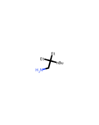 CCCCC(CC)(CC)CN